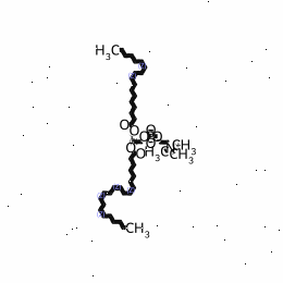 CCCCC/C=C\C/C=C\C/C=C\C/C=C\CCCCCC(=O)O[C@H](COC(=O)CCCCCCC/C=C\C/C=C\CCCCC)COP(=O)([O-])OCC[N+](C)(C)C